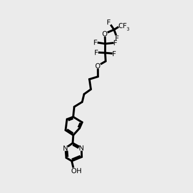 Oc1cnc(-c2ccc(CCCCCCOCC(F)(F)C(F)(F)OC(F)(F)C(F)(F)F)cc2)nc1